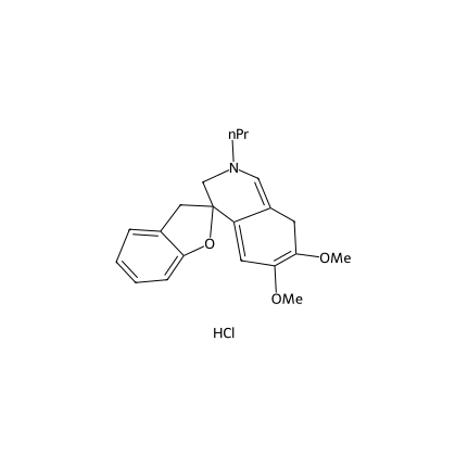 CCCN1C=C2CC(OC)=C(OC)C=C2C2(Cc3ccccc3O2)C1.Cl